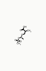 CC(COB(I)OS(C)(=O)=O)C(=O)O